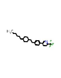 CCCCCCC1CCC(CCc2ccc(-c3ccc(C(F)(F)F)nc3)cc2)CC1